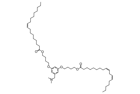 CCCCC/C=C\C/C=C\CCCCCCCC(=O)OCCCCOc1cc(CN(C)C)cc(OCCCCOC(=O)CCCCCCC/C=C\CCCCCCCC)c1